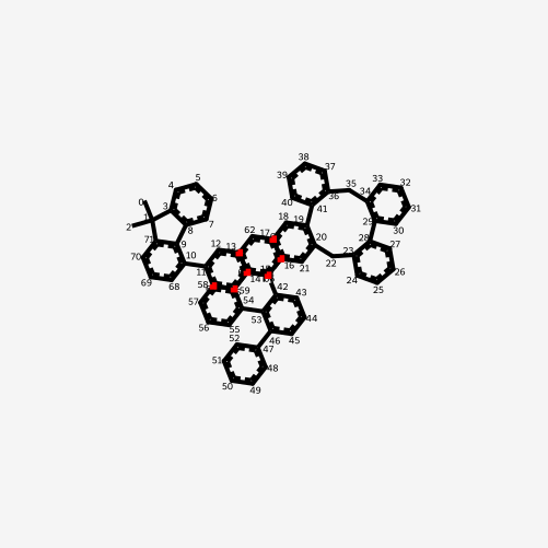 CC1(C)c2ccccc2-c2c(-c3ccc(N(c4ccc5c(c4)Cc4ccccc4-c4ccccc4Cc4ccccc4-5)c4cccc(-c5ccccc5)c4-c4ccccc4-c4ccccc4)cc3)cccc21